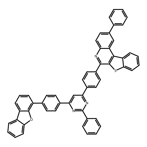 c1ccc(-c2ccc3nc(-c4ccc(-c5cc(-c6ccc(-c7cccc8c7oc7ccccc78)cc6)nc(-c6ccccc6)n5)cc4)c4sc5ccccc5c4c3c2)cc1